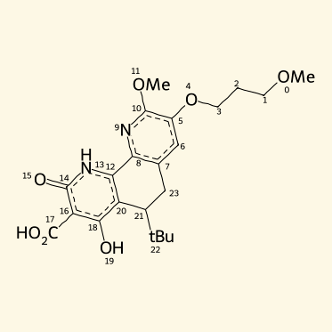 COCCCOc1cc2c(nc1OC)-c1[nH]c(=O)c(C(=O)O)c(O)c1C(C(C)(C)C)C2